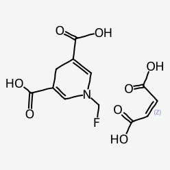 O=C(O)/C=C\C(=O)O.O=C(O)C1=CN(CF)C=C(C(=O)O)C1